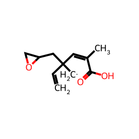 [CH2]C(C=C)(C=C(C)C(=O)O)CC1CO1